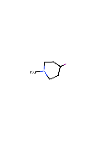 CCCCN1CCC(I)CC1